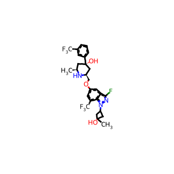 C[C@H]1C[C@@](O)(c2cccc(C(F)(F)F)c2)C[C@@H](COc2cc(C(F)(F)F)c3c(c2)c(F)nn3C2CC(C)(O)C2)N1